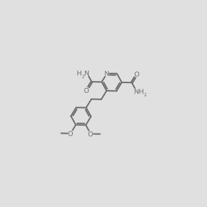 COc1ccc(CCc2cc(C(N)=O)cnc2C(N)=O)cc1OC